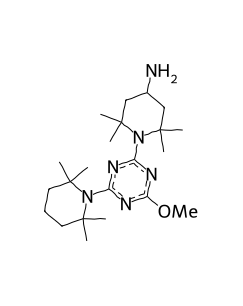 COc1nc(N2C(C)(C)CCCC2(C)C)nc(N2C(C)(C)CC(N)CC2(C)C)n1